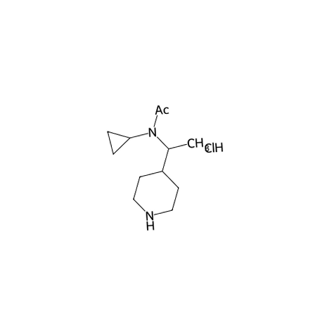 CC(=O)N(C1CC1)C(C)C1CCNCC1.Cl